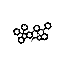 CCc1nc2cccc3c2n1-c1c(-c2ccc4c(c2)C(c2ccccc2)(c2ccccc2)c2ccccc2-4)cccc1N3c1ccccc1